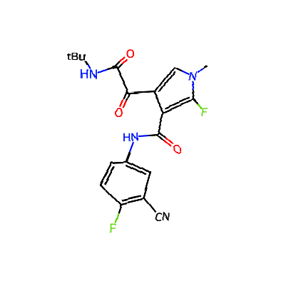 Cn1cc(C(=O)C(=O)NC(C)(C)C)c(C(=O)Nc2ccc(F)c(C#N)c2)c1F